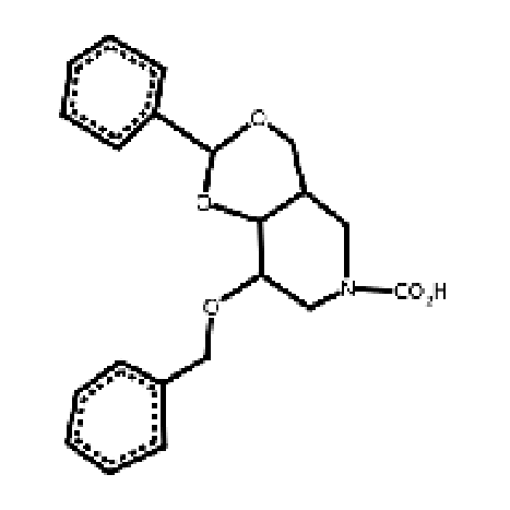 O=C(O)N1CC2COC(c3ccccc3)OC2C(OCc2ccccc2)C1